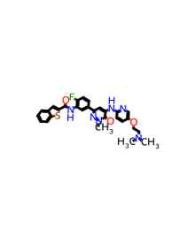 CN(C)CCOc1ccc(Nc2cc(-c3ccc(F)c(NC(=O)c4cc5ccccc5s4)c3)nn(C)c2=O)nc1